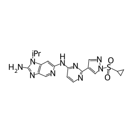 CC(C)n1c(N)nc2cnc(Nc3ccnc(-c4cnn(S(=O)(=O)C5CC5)c4)n3)cc21